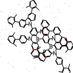 Cc1cccc(C)c1-c1ccc(N2c3ccc(-c4c(C)cccc4C)cc3B3c4cc5c(cc4N(c4ccccc4)c4cc(-n6c7ccc(-c8c(C)cccc8C)cc7c7cc(-c8c(C)cccc8C)ccc76)cc2c43)N(c2c(-c3ccccc3)cccc2-c2ccccc2)c2cc(-c3c(C)cccc3C)cc3c2B5c2cc(-c4c(C)cccc4C)ccc2N3c2ccc(-c3c(C)cccc3C)cc2)cc1